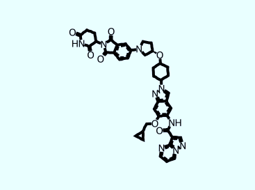 O=C1CCC(N2C(=O)c3ccc(N4CC[C@@H](OC5CCC(n6cc7cc(NC(=O)c8cnn9cccnc89)c(OCC8CC8)cc7n6)CC5)C4)cc3C2=O)C(=O)N1